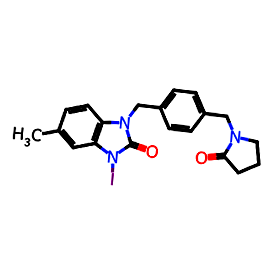 Cc1ccc2c(c1)n(I)c(=O)n2Cc1ccc(CN2CCCC2=O)cc1